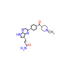 CN1CCC(C(=O)c2ccc(-c3cnc4[nH]cc(/C=C/C(N)=O)c4n3)cc2)CC1